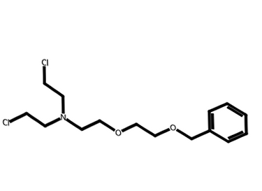 ClCCN(CCCl)CCOCCOCc1ccccc1